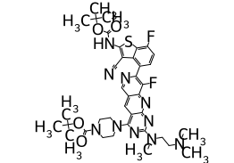 CN(C)CCN(C)c1nc(N2CCN(C(=O)OC(C)(C)C)CC2)c2cc3cnc(-c4ccc(F)c5sc(NC(=O)OC(C)(C)C)c(C#N)c45)c(F)c3nc2n1